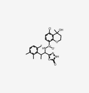 Cc1ccc(F)c(C(C)C(N[S+]([O-])c2ccc(Cl)c3c2OCCC3(C)O)c2n[nH]c(=O)o2)c1C